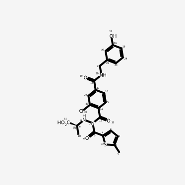 Cc1ccc(C(=O)N(N[C@@H](C)C(=O)O)C(=O)c2ccc(C(=O)NCc3cccc(O)c3)cc2Cl)s1